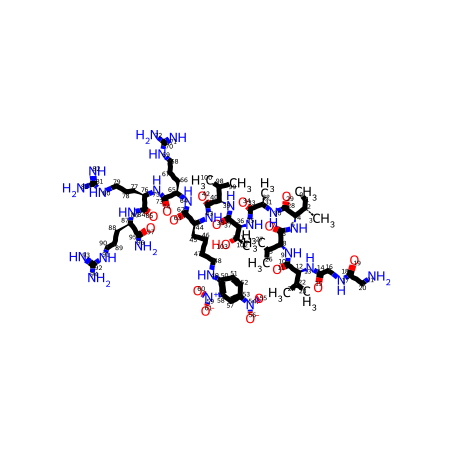 CC[C@H](C)[C@H](NC(=O)[C@@H](NC(=O)[C@@H](NC(=O)CNC(=O)CN)C(C)C)C(C)C)C(=O)N[C@@H](C)C(=O)N[C@H](C(=O)N[C@H](C(=O)N[C@@H](CCCCNc1ccc([N+](=O)[O-])cc1[N+](=O)[O-])C(=O)N[C@H](CCCNC(=N)N)C(=O)N[C@H](CCCNC(=N)N)C(=O)N[C@H](CCCNC(=N)N)C(N)=O)C(C)C)[C@@H](C)O